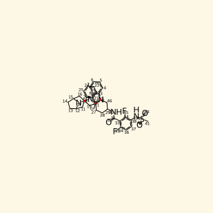 Cc1nc2ccccc2n1C1CC2CCC(C1)N2CCC1(c2ccccc2)CCC(NC(=O)c2c(F)ccc(NS(C)(=O)=O)c2F)CC1